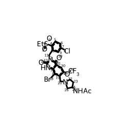 CCS(=O)(=O)c1ccc(Cl)cc1Cn1c(=O)[nH]c2c(Br)c(CN3CCC(NC(C)=O)C3)c(OC(F)(F)F)cc2c1=O